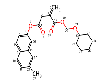 C=C(CC(=O)Oc1ccc2ccc(C)cc2c1)C(=O)OCOC1CCCCC1